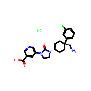 Cl.NC[C@]1(c2cccc(Cl)c2)CC[C@@H](N2CCN(c3cncc(C(=O)O)c3)C2=O)CC1